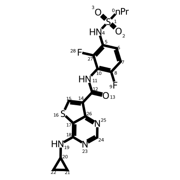 CCCS(=O)(=O)Nc1ccc(F)c(NC(=O)c2csc3c(NC4CC4)ncnc23)c1F